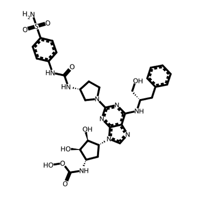 NS(=O)(=O)c1ccc(NC(=O)N[C@@H]2CCN(c3nc(N[C@H](CO)Cc4ccccc4)c4ncn([C@@H]5C[C@H](NC(=O)OO)[C@@H](O)[C@H]5O)c4n3)C2)cc1